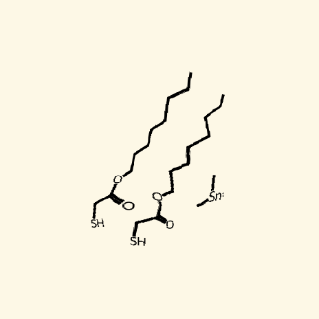 CCCCCCCCOC(=O)CS.CCCCCCCCOC(=O)CS.[CH3][Sn][CH3]